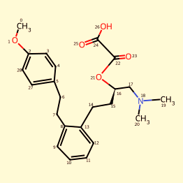 COc1ccc(CCc2ccccc2CC[C@H](CN(C)C)OC(=O)C(=O)O)cc1